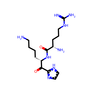 N=C(N)NCCC[C@H](N)C(=O)N[C@@H](CCCCN)C(=O)c1ncc[nH]1